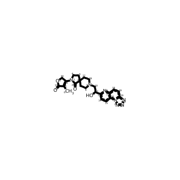 CC1=C(N2CCC3(CCN(CC(O)c4ccc5c(ccc6nnnn65)n4)CC3)C2=O)COC1=O